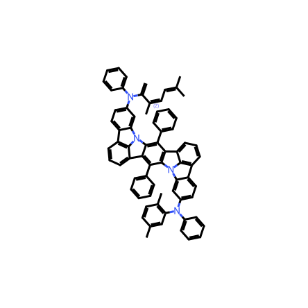 C=C(/C(C)=C\C=C(C)C)N(c1ccccc1)c1ccc2c3cccc4c5c(-c6ccccc6)c6c(c(-c7ccccc7)c5n(c2c1)c34)c1cccc2c3ccc(N(c4ccccc4)c4cc(C)ccc4C)cc3n6c21